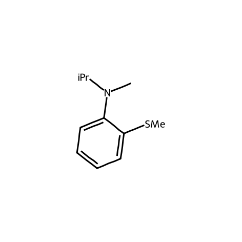 CSc1ccccc1N(C)C(C)C